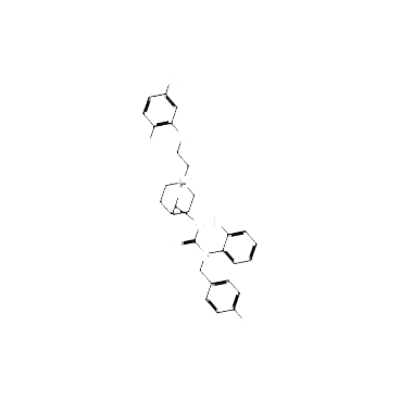 O=C(OC1C[N+]2(CCSc3cc(Cl)ccc3Cl)CCC1CC2)N(Cc1ccc(F)cc1)c1ccccc1F